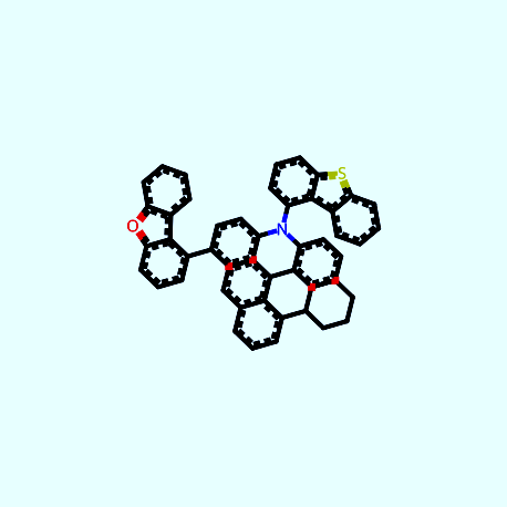 c1ccc(N(c2ccc(-c3cccc4oc5ccccc5c34)cc2)c2cccc3sc4ccccc4c23)c(-c2cccc3cccc(C4CCCCC4)c23)c1